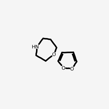 C1=COOC=C1.C1CNCCOC1